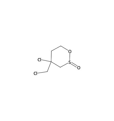 O=S1CC(Cl)(CCl)CCO1